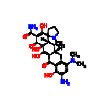 CN(C)c1cc(N)c(O)c2c1C[C@H]1C[C@H]3C4(CCCN4C)C(O)=C(C(N)=O)C(=O)[C@@]3(O)C(O)=C1C2=O